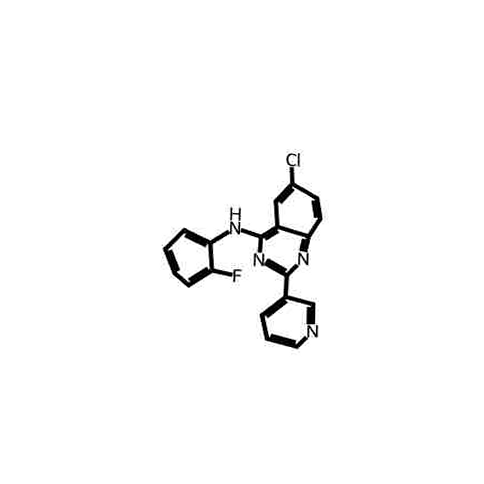 Fc1ccccc1Nc1nc(-c2cccnc2)nc2ccc(Cl)cc12